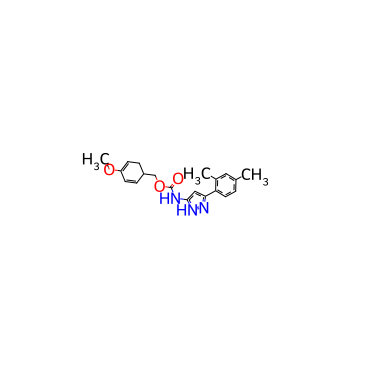 COC1=CCC(COC(=O)Nc2cc(-c3ccc(C)cc3C)n[nH]2)C=C1